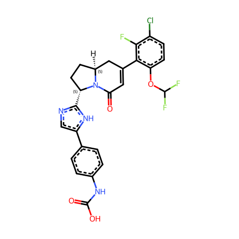 O=C(O)Nc1ccc(-c2cnc([C@@H]3CC[C@H]4CC(c5c(OC(F)F)ccc(Cl)c5F)=CC(=O)N43)[nH]2)cc1